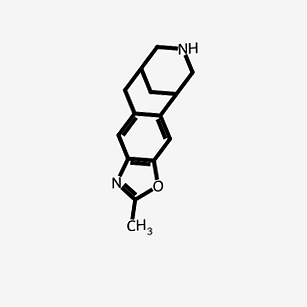 Cc1nc2cc3c(cc2o1)C1CNCC(C3)C1